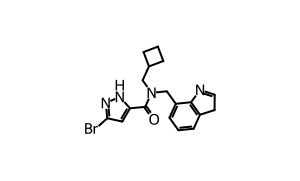 O=C(c1cc(Br)n[nH]1)N(Cc1cccc2c1N=CC2)CC1CCC1